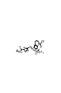 CCC(C)OC(=O)c1nnc(N=Nc2cc3c(cc2NS(=O)(=O)C(F)(F)F)N(C(CC)CC)CCC3)s1